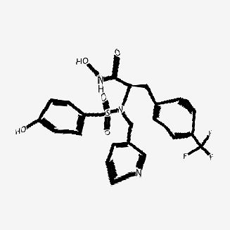 O=C(NO)[C@@H](Cc1ccc(C(F)(F)F)cc1)N(Cc1cccnc1)S(=O)(=O)c1ccc(O)cc1